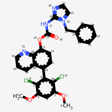 COc1cc(OC)c(Cl)c(-c2ccc(OC(=O)Nc3nccn3Cc3ccccc3)c3ncccc23)c1Cl